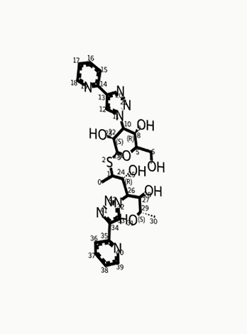 CC(S[C@@H]1OC(CO)[C@H](O)C(n2cc(-c3ccccn3)nn2)[C@@H]1O)[C@H](O)C(C(O)[C@H](C)O)n1cc(-c2ccccn2)nn1